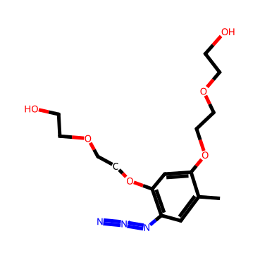 Cc1cc(N=[N+]=[N-])c(OCCOCCO)cc1OCCOCCO